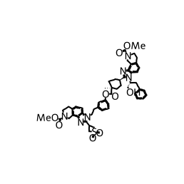 COC(=O)N1CCc2ccc3c(nc(C4CS(=O)(=O)C4)n3CCc3cccc(OC(=O)[C@]4(C)CC[C@H](c5nc6c7c(ccc6n5[C@@H](CO)Cc5ccccc5)CCN(C(=O)OC)C7)CC4)c3)c2C1